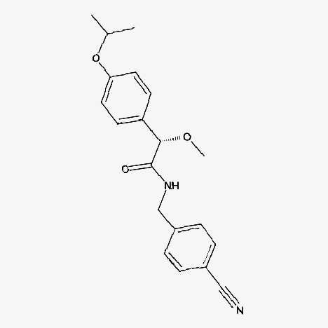 CO[C@H](C(=O)NCc1ccc(C#N)cc1)c1ccc(OC(C)C)cc1